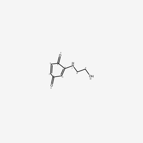 O=C1C=CC(=O)C(NCCO)=C1